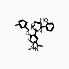 Cc1cccc(COc2nc3c(cc2C2=NOC=CC(c4ccccc4O)=N2)c(C)nn3C)c1